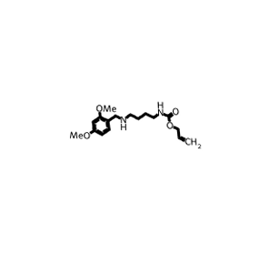 C=CCOC(=O)NCCCCNCc1ccc(OC)cc1OC